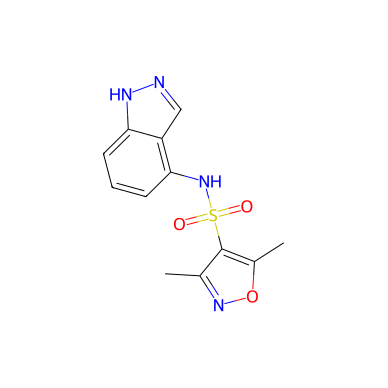 Cc1noc(C)c1S(=O)(=O)Nc1cccc2[nH]ncc12